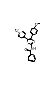 COc1ccc(-c2nc(NC(=O)c3ccccc3)sc2-c2cc[n+]([O-])cc2)cc1